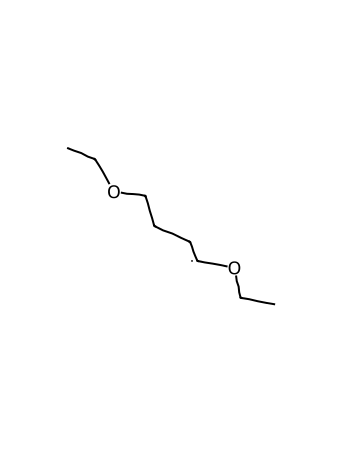 CCO[CH]CCCOCC